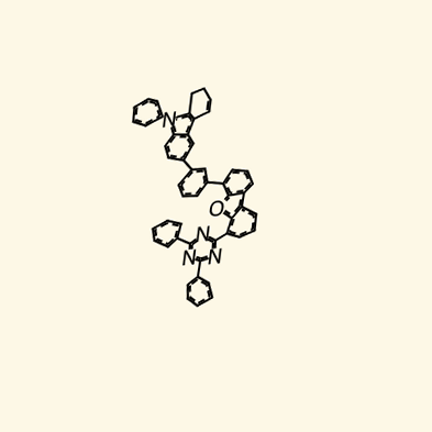 C1=Cc2c(n(-c3ccccc3)c3ccc(-c4cccc(-c5cccc6c5oc5c(-c7nc(-c8ccccc8)nc(-c8ccccc8)n7)cccc56)c4)cc23)CC1